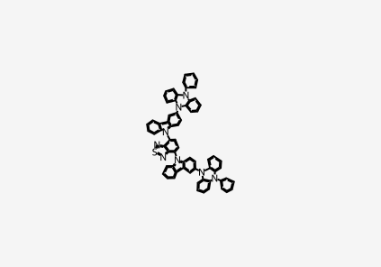 c1ccc(N2c3ccccc3N(c3ccc4c(c3)c3ccccc3n4-c3ccc(-n4c5ccccc5c5cc(N6c7ccccc7N(c7ccccc7)c7ccccc76)ccc54)c4nsnc34)c3ccccc32)cc1